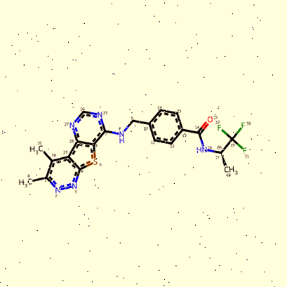 Cc1nnc2sc3c(NCc4ccc(C(=O)N[C@H](C)C(F)(F)F)cc4)ncnc3c2c1C